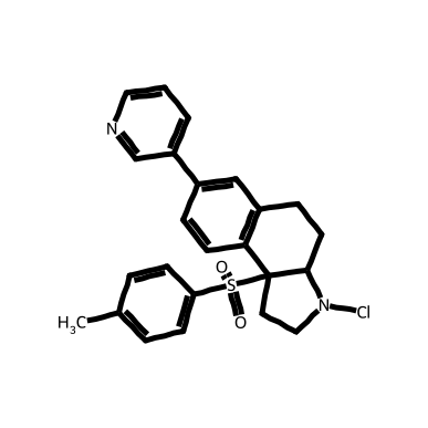 Cc1ccc(S(=O)(=O)C23CCN(Cl)C2CCc2cc(-c4cccnc4)ccc23)cc1